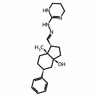 C[C@]12CC[C@H](c3ccccc3)C[C@@]1(O)CC[C@@H]2C=NNC1=NCCCN1